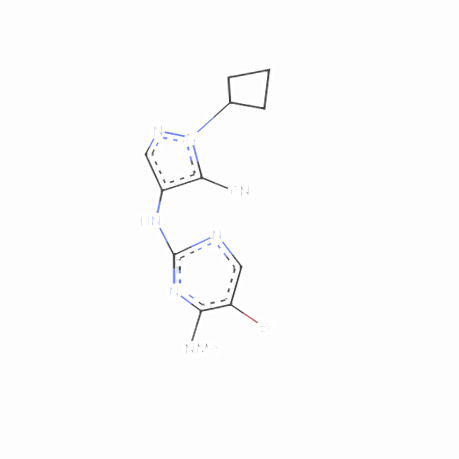 CNc1nc(Nc2cnn(C3CCC3)c2C#N)ncc1Br